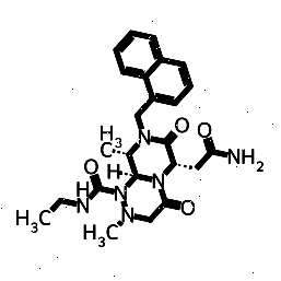 CCNC(=O)N1[C@H]2[C@H](C)N(Cc3cccc4ccccc34)C(=O)[C@H](CC(N)=O)N2C(=O)CN1C